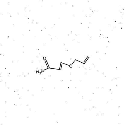 C=CCOC=CC(N)=O